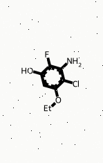 CCOc1cc(O)c(F)c(N)c1Cl